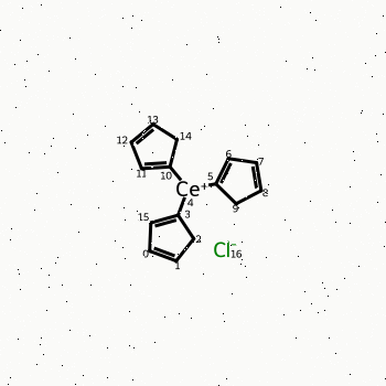 C1=CC[C]([Ce+]([C]2=CC=CC2)[C]2=CC=CC2)=C1.[Cl-]